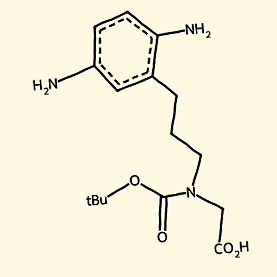 CC(C)(C)OC(=O)N(CCCc1cc(N)ccc1N)CC(=O)O